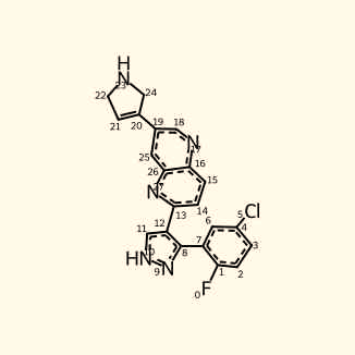 Fc1ccc(Cl)cc1-c1n[nH]cc1-c1ccc2ncc(C3=CCNC3)cc2n1